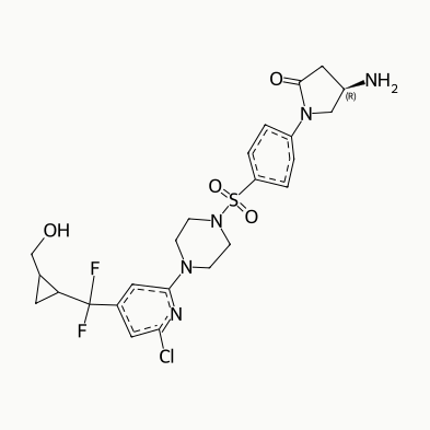 N[C@@H]1CC(=O)N(c2ccc(S(=O)(=O)N3CCN(c4cc(C(F)(F)C5CC5CO)cc(Cl)n4)CC3)cc2)C1